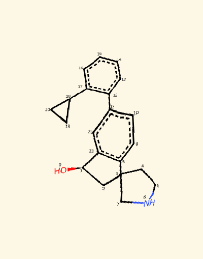 O[C@@H]1CC2(CCNC2)c2ccc(-c3ccccc3C3CC3)cc21